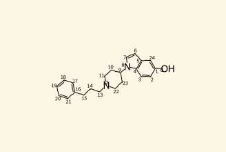 Oc1ccc2c(ccn2C2CCN(CCCc3ccccc3)CC2)c1